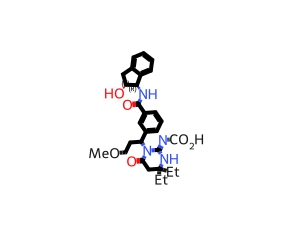 CCC1(CC)CC(=O)N(C(CCOC)c2cccc(C(=O)N[C@@H]3c4ccccc4C[C@H]3O)c2)C(=NC(=O)O)N1